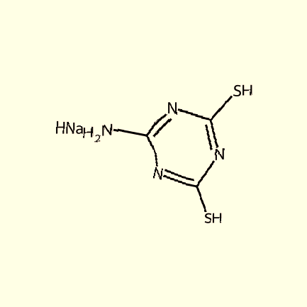 Nc1nc(S)nc(S)n1.[NaH]